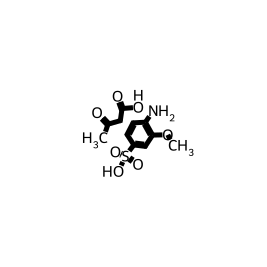 CC(=O)CC(=O)O.COc1cc(S(=O)(=O)O)ccc1N